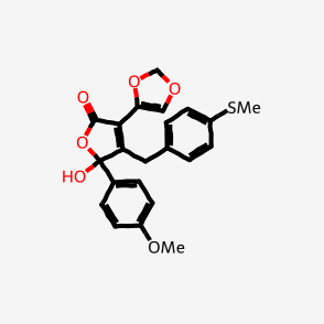 COc1ccc(C2(O)OC(=O)C(C3=COCO3)=C2Cc2ccc(SC)cc2)cc1